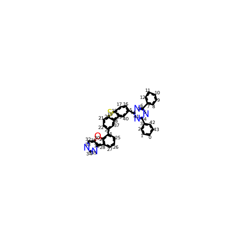 c1ccc(-c2nc(-c3ccccc3)nc(-c3ccc4sc5ccc(-c6cccc7c6oc6cncnc67)cc5c4c3)n2)cc1